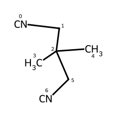 [C-]#[N+]CC(C)(C)C[N+]#[C-]